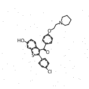 O=C(c1ccc(OCCN2CCCCC2)cc1)c1c(-c2ccc(Cl)cc2)sc2cc(O)ccc12